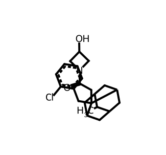 CC1C2CC3CC1CC(C2)C3(CC(=O)N1CC(O)C1)Cc1ccccc1Cl